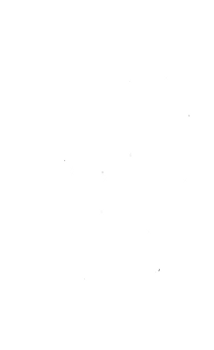 CCc1ccc2c(c1)C(O)c1ccccc1CO2